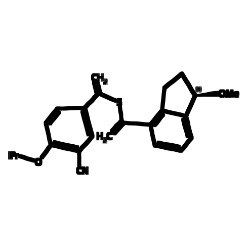 C=C(SC(=C)c1cccc2c1CC[C@H]2OC)c1ccc(OC(C)C)c(C#N)c1